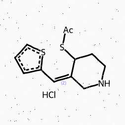 CC(=O)SC1CCNC/C1=C/c1cccs1.Cl